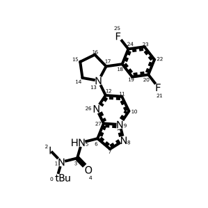 CC(C)(C)N(I)C(=O)Nc1cnn2ccc(N3CCCC3c3cc(F)ccc3F)nc12